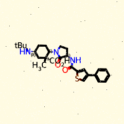 CC(C)(C)N[C@@H]1CC[C@H](N2CC[C@H](NC(=O)c3cc(-c4ccccc4)cs3)C2=O)[C@](C)(C(=O)O)C1